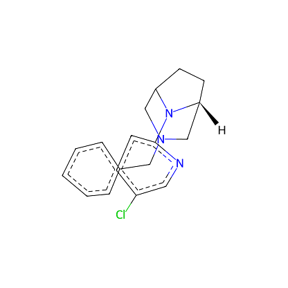 Clc1ccc(N2C3CC[C@@H]2CN(Cc2ccccc2)C3)nc1